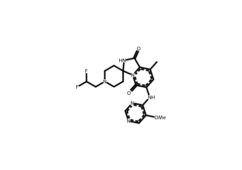 COc1cncnc1Nc1cc(C)c2n(c1=O)C1(CCN(CC(F)F)CC1)NC2=O